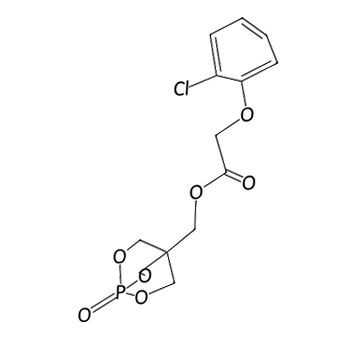 O=C(COc1ccccc1Cl)OCC12COP(=O)(OC1)OC2